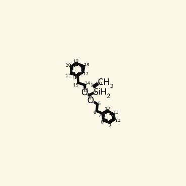 C=C[SiH2]C(OCCc1ccccc1)OCCc1ccccc1